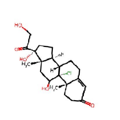 C[C@]12CCC(=O)C=C1CC[C@H]1[C@@H]3CC[C@](O)(C(=O)CO)[C@@]3(C)CC(O)[C@@]12Cl